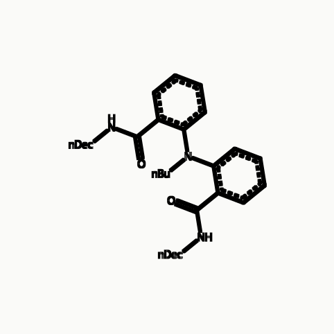 CCCCCCCCCCNC(=O)c1ccccc1N(CCCC)c1ccccc1C(=O)NCCCCCCCCCC